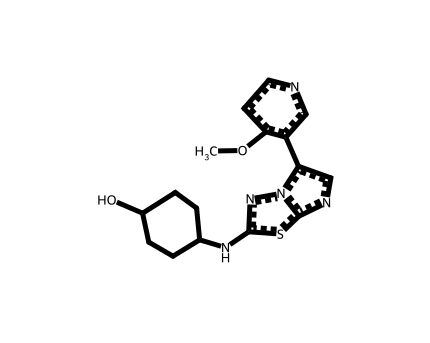 COc1ccncc1-c1cnc2sc(NC3CCC(O)CC3)nn12